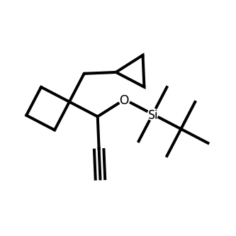 C#CC(O[Si](C)(C)C(C)(C)C)C1(CC2CC2)CCC1